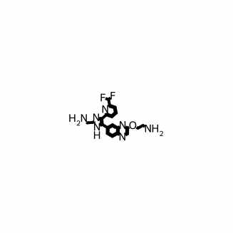 NCCOc1cnc2ccc(-c3[nH]c(CN)nc3-c3cccc(C(F)F)n3)cc2n1